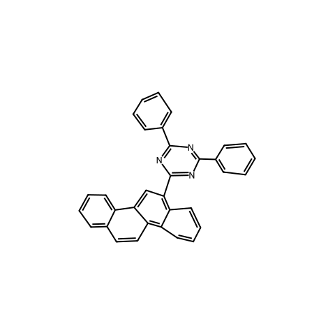 c1ccc(-c2nc(-c3ccccc3)nc(-c3cc4c5ccccc5ccc4c4ccccc34)n2)cc1